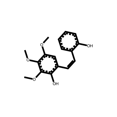 COc1cc(/C=C\c2ccccc2O)c(O)c(OC)c1OC